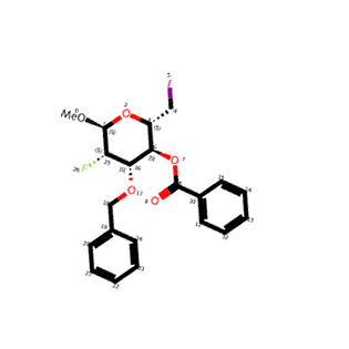 CO[C@H]1O[C@H](CI)[C@@H](OC(=O)c2ccccc2)[C@H](OCc2ccccc2)[C@@H]1F